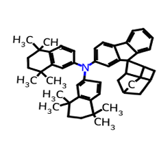 CC1(C)CCC(C)(C)c2cc(N(c3ccc4c(c3)C(C)(C)CCC4(C)C)c3ccc4c(c3)C3(c5ccccc5-4)C4CC5CC6CC3C64C5)ccc21